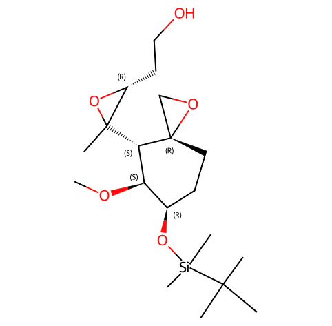 CO[C@H]1[C@H](C2(C)O[C@@H]2CCO)[C@]2(CC[C@H]1O[Si](C)(C)C(C)(C)C)CO2